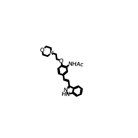 CC(=O)Nc1cc(/C=C/c2n[nH]c3ccccc23)ccc1OCCN1CCOCC1